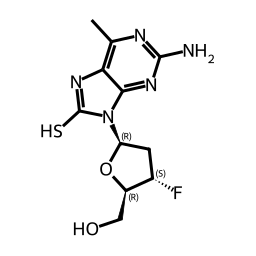 Cc1nc(N)nc2c1nc(S)n2[C@H]1C[C@H](F)[C@@H](CO)O1